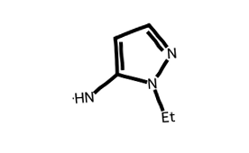 CCn1nccc1[NH]